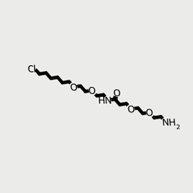 NCCOCCOCCC(=O)NCCOCCOCCCCCCCl